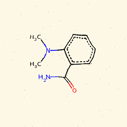 CN(C)c1ccc[c]c1C(N)=O